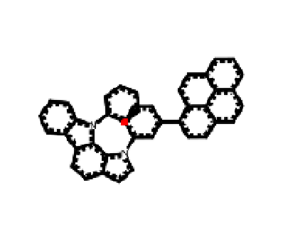 c1ccc(-n2c3ccccc3c3ccc4ccn(-c5cccc(-c6ccc7ccc8cccc9ccc6c7c89)c5)c4c32)cc1